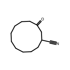 N#CC1CCCCCCCCCC(=O)C1